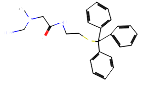 CCCN(CN)CC(=O)NCCSC(c1ccccc1)(c1ccccc1)c1ccccc1